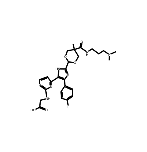 CN(C)CCCNC(=O)C1(C)COC(c2nc(-c3ccc(F)cc3)c(-c3ccnc(NCC(=O)O)n3)[nH]2)OC1